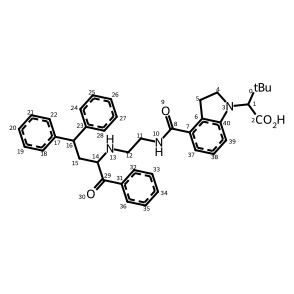 CC(C)(C)C(C(=O)O)N1CCc2c(C(=O)NCCNC(CC(c3ccccc3)c3ccccc3)C(=O)c3ccccc3)cccc21